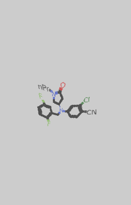 CCCN1C[C@@H](N(Cc2cc(F)ccc2F)c2ccc(C#N)c(Cl)c2)CC1=O